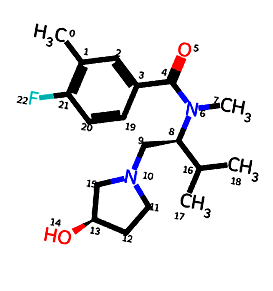 Cc1cc(C(=O)N(C)[C@H](CN2CC[C@@H](O)C2)C(C)C)ccc1F